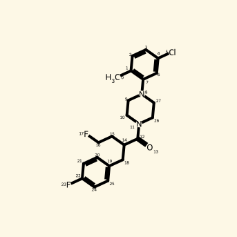 Cc1ccc(Cl)cc1N1CCN(C(=O)C(CCF)Cc2ccc(F)cc2)CC1